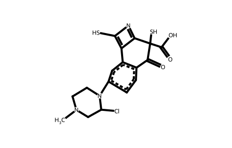 CN1CCN(c2ccc3c(c2)C2=C(S)N=C2C(S)(C(=O)O)C3=O)C(Cl)C1